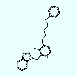 Cc1c(OCCCOc2ccccc2)ccnc1Cn1cnc2ccccc21